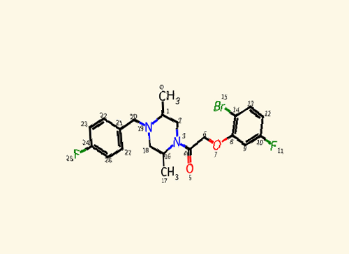 CC1CN(C(=O)COc2cc(F)ccc2Br)C(C)CN1Cc1ccc(F)cc1